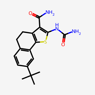 CC(C)(C)c1ccc2c(c1)-c1sc(NC(N)=O)c(C(N)=O)c1CC2